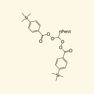 [CH2]CCCC[C](OOC(=O)c1ccc([Si](C)(C)C)cc1)OOC(=O)c1ccc([Si](C)(C)C)cc1